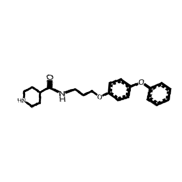 O=C(NCCCOc1ccc(Oc2ccccc2)cc1)C1CCNCC1